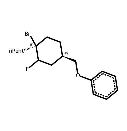 CCCCC[C@]1(Br)CC[C@@H](COc2ccccc2)CC1F